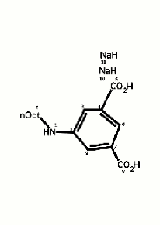 CCCCCCCCNc1cc(C(=O)O)cc(C(=O)O)c1.[NaH].[NaH]